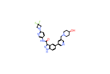 O=C(Nc1ccc(N2CC(F)(F)C2)nc1)c1n[nH]c2ccc(-c3cncc(CN4CCC(O)CC4)c3)cc12